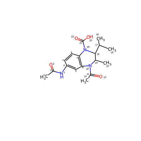 CC(=O)Nc1ccc2c(c1)N(C(C)=O)C(C)C(C(C)C)N2C(=O)O